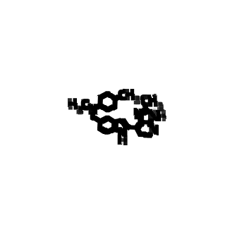 Cc1nc2c(-c3cc4cc(CN(C)C5CCC(C)CC5)ccc4[nH]3)ccnc2[nH]1